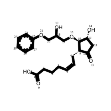 O=C(O)CCC/C=C\C[C@H]1C(=O)C[C@@H](O)[C@@H]1OCC(O)COc1ccccc1